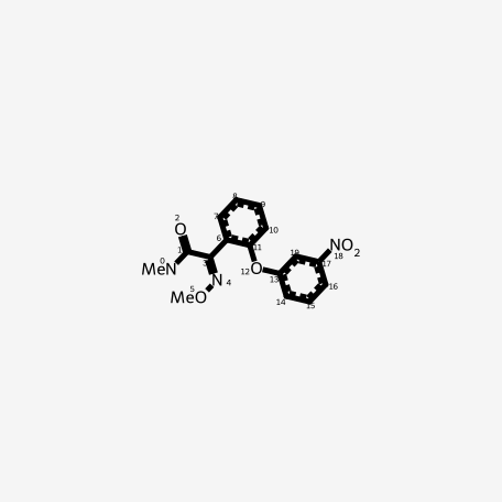 CNC(=O)C(=NOC)c1ccccc1Oc1cccc([N+](=O)[O-])c1